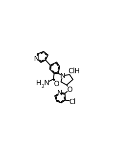 Cl.NC(=O)c1cc(-c2cccnc2)ccc1N1CCC(Oc2ncccc2Cl)C1